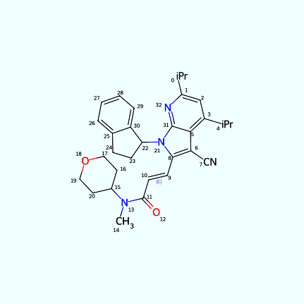 CC(C)c1cc(C(C)C)c2c(C#N)c(/C=C/C(=O)N(C)C3CCOCC3)n(C3CCc4ccccc43)c2n1